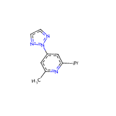 Cc1cc(-n2nccn2)cc(C(C)C)n1